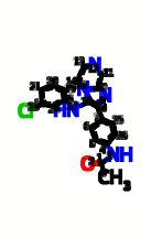 CC(=O)Nc1ccc(-c2nc3cnccn3c2Nc2cccc(Cl)c2)cc1